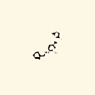 O=C(ON1C(=O)CCC1=O)c1ccc(NN=Cc2ccccc2S(=O)(=O)O)nc1.[NaH]